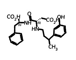 CC(CCN[C@@H](CC(=O)O)C(=O)N[C@@H](Cc1ccccc1)C(=O)O)c1cccc(O)c1